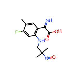 Cc1cc(C(=N)C(=O)O)c(NCC(C)(C)N=O)cc1F